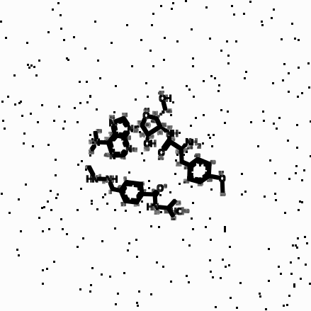 CNNCc1ccc(C(=O)NC(C)C)cc1.COc1ccc(C[C@H](N)C(=O)N[C@H]2[C@@H](O)[C@H](n3cnc4c(N(C)C)ncnc43)O[C@@H]2CO)cc1.Cl